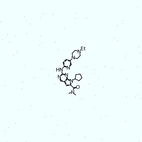 CCN1CCN(c2ccc(Nc3ncc4cc(C(=O)N(C)C)n(C5CCCC5)c4n3)nc2)CC1